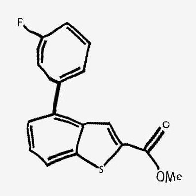 COC(=O)c1cc2c(-c3cccc(F)c3)cccc2s1